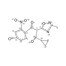 Cc1noc(C(C(=O)c2ccc(Cl)cc2[N+](=O)[O-])C(=O)C2CC2)n1